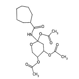 CC(=O)OC1COC(NC(=O)C2CCCCCC2)(OC(C)=O)CC1OC(C)=O